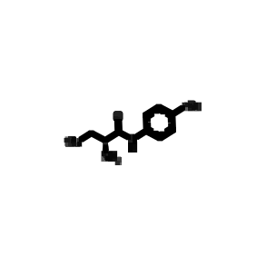 CCCCc1ccc(NC(=O)[C@@H](N)CC(C)(C)C)cc1